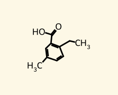 CCc1ccc(C)cc1C(=O)O